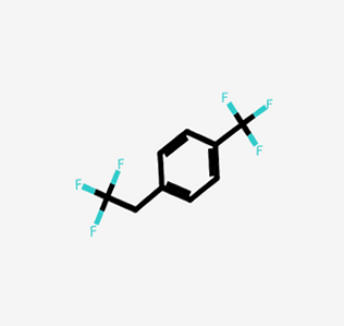 FC(F)(F)Cc1ccc(C(F)(F)F)cc1